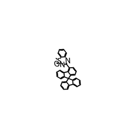 CS1(=O)=NC(c2cccc3c2-c2ccccc2C32c3ccccc3-c3ccccc32)=Nc2ccccc21